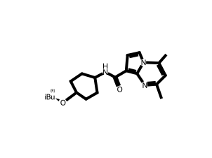 CC[C@@H](C)OC1CCC(NC(=O)c2ccn3c(C)cc(C)nc23)CC1